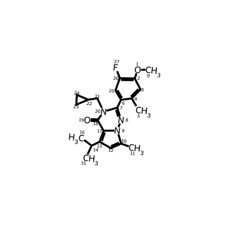 COc1cc(C)c(-c2nn3c(C)cc(C(C)C)c3c(=O)n2CC2CC2)cc1F